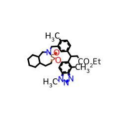 CCOC(=O)CC(c1ccc(C)c(CN2CC3CCCCC3CCS2(=O)=O)c1)c1ccc2c(nnn2C)c1C